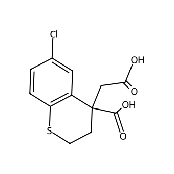 O=C(O)CC1(C(=O)O)CCSc2ccc(Cl)cc21